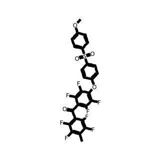 COc1ccc(S(=O)(=O)c2ccc(Oc3c(F)c(F)c(C(=O)c4c(F)c(F)c(C)c(F)c4F)c(F)c3F)cc2)cc1